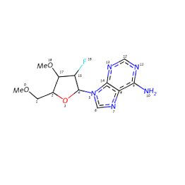 COCC1OC(n2cnc3c(N)ncnc32)C(F)C1OC